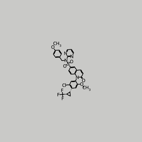 COc1ccc(CN(c2ncccn2)S(=O)(=O)c2ccc3c(ccc(=O)n3-c3cc(Cl)c([C@@H]4C[C@H]4C(F)(F)F)cc3OC)c2)cc1